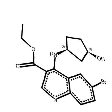 CCOC(=O)c1cnc2ccc(Br)cc2c1N[C@H]1CC[C@@H](O)C1